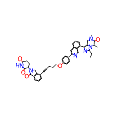 CCc1nc(-c2cccc3cc(-c4ccc(OCCCC#Cc5cccc6c5CN(C5CCC(=O)NC5=O)C6=O)cc4)ncc23)c2n1C(C)C(=O)N(C)C2